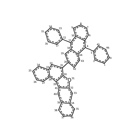 c1ccc(-c2c3ccccc3c(-c3ccccc3)c3cc(-c4cc5ccccc5c5c4oc4cc6ccccc6cc45)ccc23)cc1